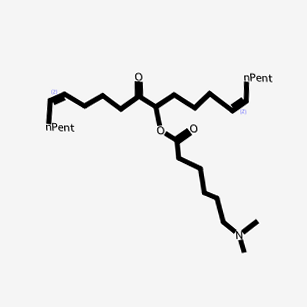 CCCCC/C=C\CCCC(=O)C(CCC/C=C\CCCCC)OC(=O)CCCCCN(C)C